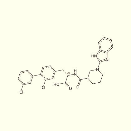 O=C(N[C@@H](Cc1ccc(-c2cccc(Cl)c2)c(Cl)c1)C(=O)O)C1CCCN(c2nc3ccccc3[nH]2)C1